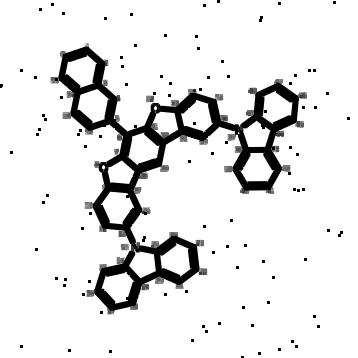 c1ccc2cc(-c3c4oc5ccc(-n6c7ccccc7c7ccccc76)cc5c4cc4c3oc3ccc(-n5c6ccccc6c6ccccc65)cc34)ccc2c1